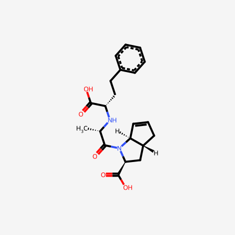 C[C@H](N[C@@H](CCc1ccccc1)C(=O)O)C(=O)N1[C@H](C(=O)O)C[C@H]2CC=C[C@@H]21